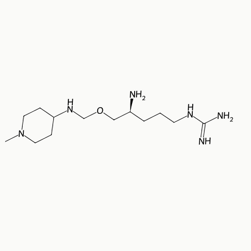 CN1CCC(NCOC[C@@H](N)CCCNC(=N)N)CC1